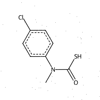 CN(C(=O)S)c1ccc(Cl)cc1